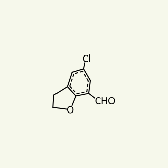 O=Cc1cc(Cl)cc2c1OCC2